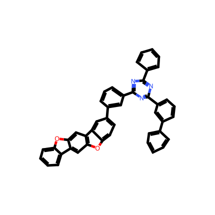 c1ccc(-c2cccc(-c3nc(-c4ccccc4)nc(-c4cccc(-c5ccc6oc7cc8c(cc7c6c5)oc5ccccc58)c4)n3)c2)cc1